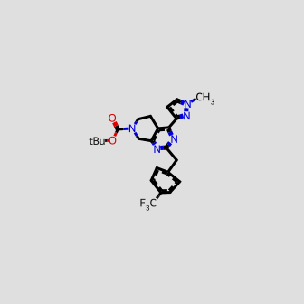 Cn1ccc(-c2nc(Cc3ccc(C(F)(F)F)cc3)nc3c2CCN(C(=O)OC(C)(C)C)C3)n1